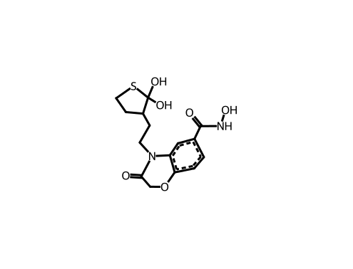 O=C(NO)c1ccc2c(c1)N(CCC1CCSC1(O)O)C(=O)CO2